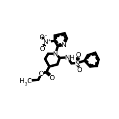 CCOC(=O)C1CCN(c2ncccc2[N+](=O)[O-])C(NCS(=O)(=O)c2ccccc2)C1